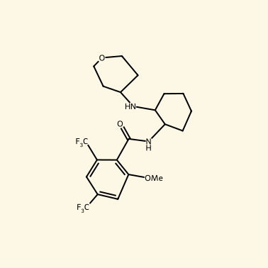 COc1cc(C(F)(F)F)cc(C(F)(F)F)c1C(=O)NC1CCCCC1NC1CCOCC1